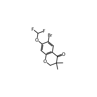 CC1(C)COc2cc(OC(F)F)c(Br)cc2C1=O